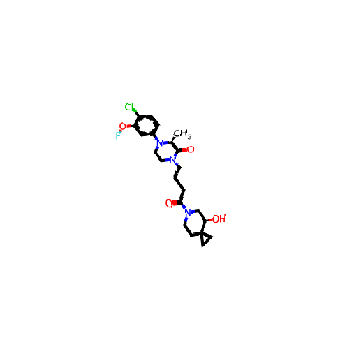 C[C@H]1C(=O)N(CCCC(=O)N2CCC3(CC3)[C@H](O)C2)CCN1c1ccc(Cl)c(OF)c1